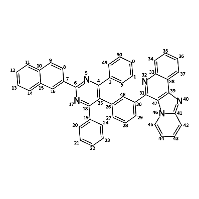 c1ccc(-c2nc(-c3ccc4ccccc4c3)nc(-c3ccccc3)c2-c2cccc(-c3nc4ccccc4c4nc5ccccn5c34)c2)cc1